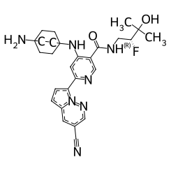 CC(C)(O)[C@H](F)CNC(=O)c1cnc(-c2ccc3cc(C#N)cnn23)cc1NC12CCC(N)(CC1)CC2